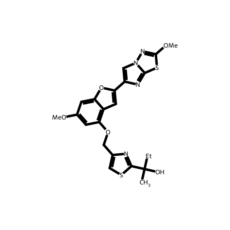 CCC(C)(O)c1nc(COc2cc(OC)cc3oc(-c4cn5nc(OC)sc5n4)cc23)cs1